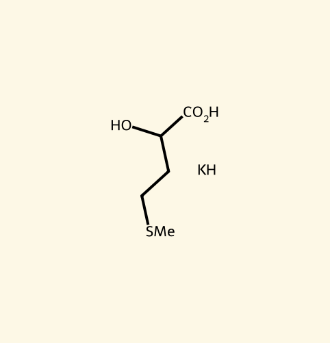 CSCCC(O)C(=O)O.[KH]